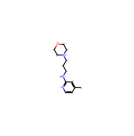 Cc1ccnc(NCCCN2CCOCC2)c1